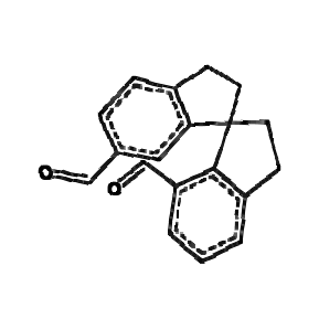 O=Cc1ccc2c(c1)C1(CC2)CCc2cccc(C=O)c21